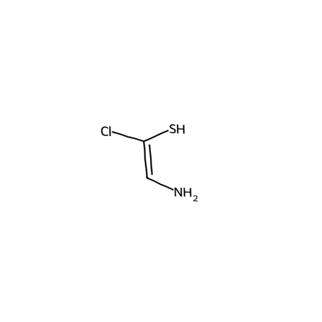 N/C=C(\S)Cl